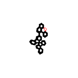 c1ccc2c(c1)Oc1cccc3ccc(-c4ccc5c(c4)-c4ccccc4C54c5ccccc5-c5c4ccc4ccccc54)c-2c13